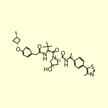 Cc1ncsc1-c1ccc([C@H](C)NC(=O)[C@@H]2C[C@@H](O)CN2C(=O)[C@@H](NC(=O)Cc2ccc(O[C@H]3C[C@H](C)C3)cc2)C(C)(C)C)cc1